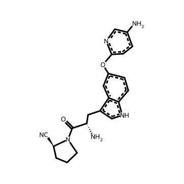 N#C[C@@H]1CCCN1C(=O)[C@@H](N)Cc1c[nH]c2ccc(Oc3ccc(N)cn3)cc12